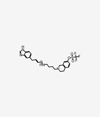 O=S(=O)(Oc1ccc2c(c1)CN(CCCCNO/C=C/Cc1ccc3[nH]cnc3c1)CC2)C(F)(F)F